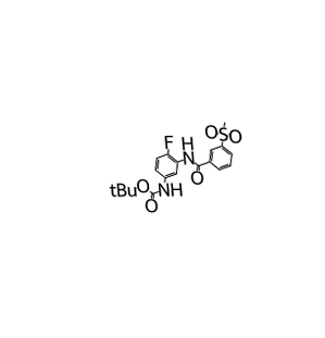 CC(C)(C)OC(=O)Nc1ccc(F)c(NC(=O)c2cccc(S(C)(=O)=O)c2)c1